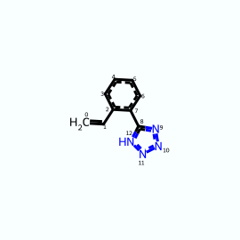 C=Cc1ccccc1-c1nnn[nH]1